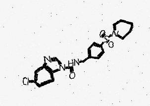 O=C(NCc1ccc(S(=O)(=O)N2CCCCC2)cc1)n1cnc2cc(Cl)ccc21